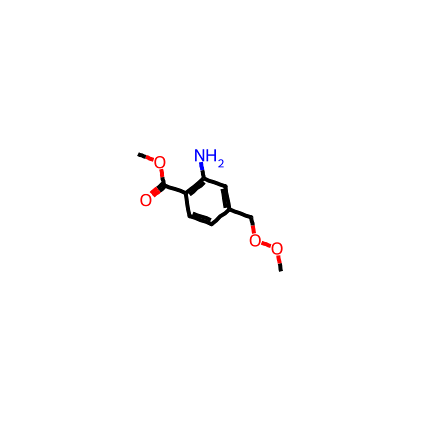 COOCc1ccc(C(=O)OC)c(N)c1